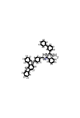 NC(N/C(=N\Cc1ccc(-n2c3ccccc3c3c4sc5ccccc5c4ccc32)cc1)c1ccccc1)c1cccc(-c2ccccc2)c1